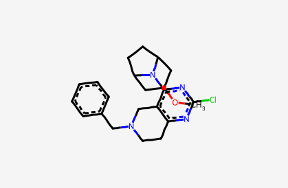 COC1CC2CCC(C1)N2c1nc(Cl)nc2c1CN(Cc1ccccc1)CC2